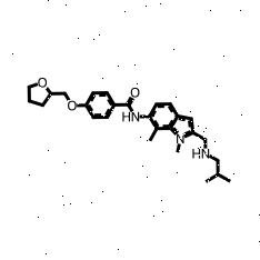 Cc1c(NC(=O)c2ccc(OCC3CCCO3)cc2)ccc2cc(CNCC(C)C)n(C)c12